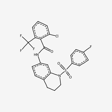 O=C(Nc1ccc2c(c1)N(S(=O)(=O)c1ccc(F)cc1)CCC2)c1c(Cl)cccc1C(F)(F)F